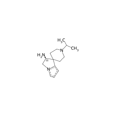 CC(C)N1CCC2(CC1)c1cccn1C[C@H]2N